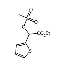 CCOC(=O)C(OS(C)(=O)=O)c1cccs1